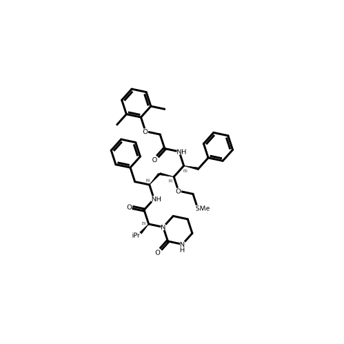 CSCO[C@@H](C[C@H](Cc1ccccc1)NC(=O)[C@H](C(C)C)N1CCCNC1=O)[C@H](Cc1ccccc1)NC(=O)COc1c(C)cccc1C